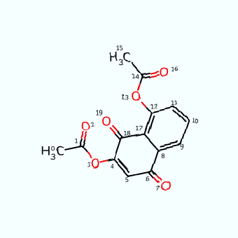 CC(=O)OC1=CC(=O)c2cccc(OC(C)=O)c2C1=O